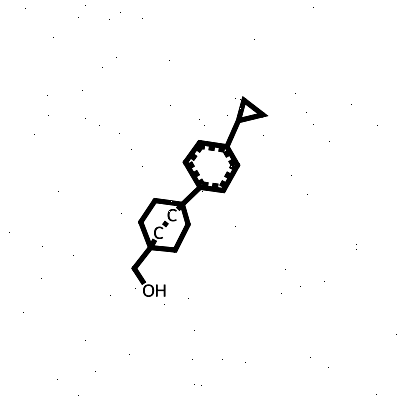 OCC12CCC(c3ccc(C4CC4)cc3)(CC1)CC2